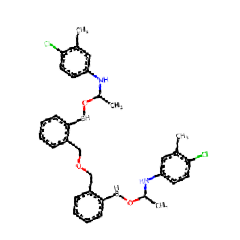 Cc1cc(NC(C)OBc2ccccc2COCc2ccccc2BOC(C)Nc2ccc(Cl)c(C)c2)ccc1Cl